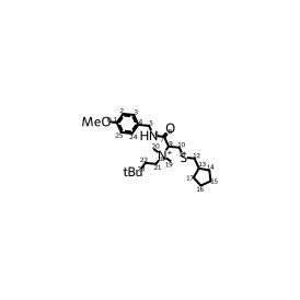 COc1ccc(CNC(=O)C(CSCC2CCCC2)[N+](C)(C)CCC(C)(C)C)cc1